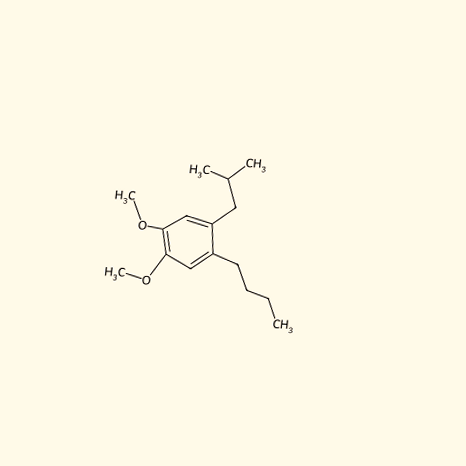 CCCCc1cc(OC)c(OC)cc1CC(C)C